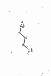 CCCC[CH2][Al]